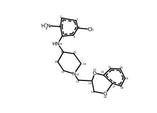 Nc1ccc(Cl)cc1NC1CCN(CC2COc3ccccc3O2)CC1